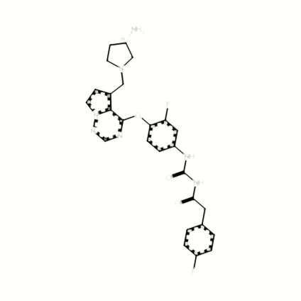 N[C@H]1CCN(Cc2ccn3ncnc(Oc4ccc(NC(=O)NC(=O)Cc5ccc(F)cc5)cc4F)c23)C1